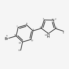 Cc1ncc(-c2ccc(Br)c(C)c2)[nH]1